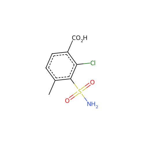 Cc1ccc(C(=O)O)c(Cl)c1S(N)(=O)=O